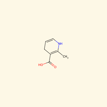 CC1=C(C(=O)O)CC=CN1